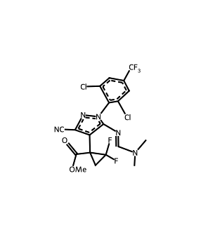 COC(=O)C1(c2c(C#N)nn(-c3c(Cl)cc(C(F)(F)F)cc3Cl)c2N=CN(C)C)CC1(F)F